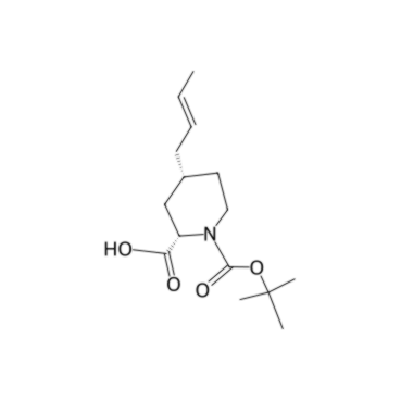 CC=CC[C@@H]1CCN(C(=O)OC(C)(C)C)[C@H](C(=O)O)C1